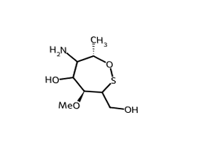 CO[C@@H]1C(CO)SO[C@@H](C)C(N)C1O